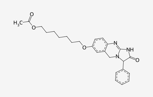 CC(=O)OCCCCCCCOc1ccc2c(c1)CN1C(=N2)NC(=O)C1c1ccccc1